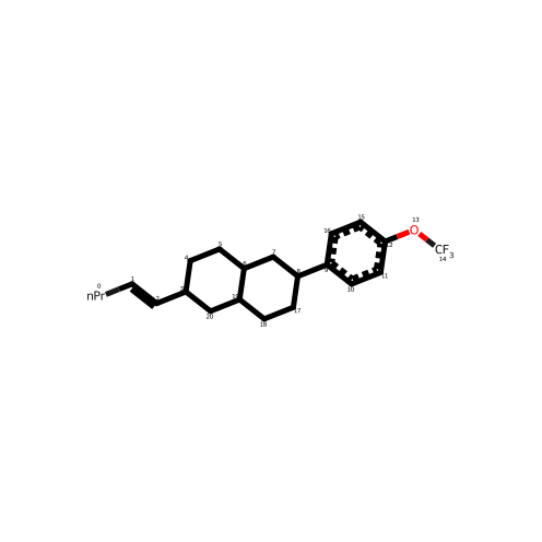 CCCC=CC1CCC2CC(c3ccc(OC(F)(F)F)cc3)CCC2C1